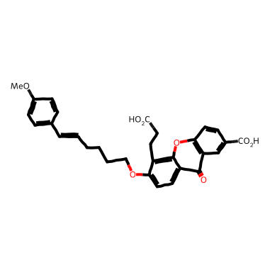 COc1ccc(C=CCCCCOc2ccc3c(=O)c4cc(C(=O)O)ccc4oc3c2CCC(=O)O)cc1